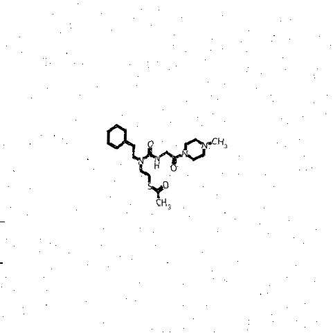 CC(=O)SCCN(CCC1CCCCC1)C(=O)NCC(=O)N1CCN(C)CC1